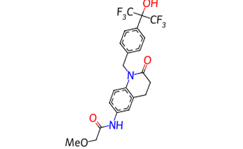 COCC(=O)Nc1ccc2c(c1)CCC(=O)N2Cc1ccc(C(O)(C(F)(F)F)C(F)(F)F)cc1